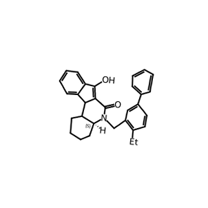 CCc1ccc(-c2ccccc2)cc1CN1C(=O)C2=C(O)c3ccccc3C2C2CCCC[C@@H]21